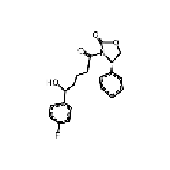 O=C(CCCC(O)c1ccc(F)cc1)N1C(=O)OC[C@H]1c1ccccc1